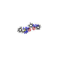 O=C(Nc1cccc(C(=O)Nc2nnc(Cc3ccccc3)s2)c1)c1ccccc1